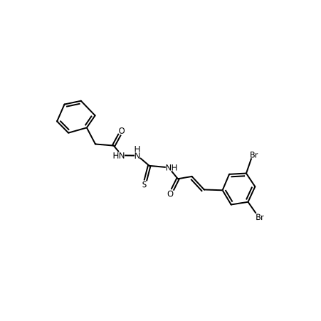 O=C(C=Cc1cc(Br)cc(Br)c1)NC(=S)NNC(=O)Cc1ccccc1